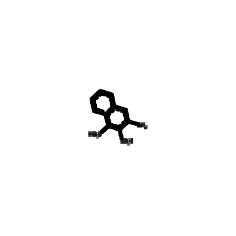 Nc1cc2ccccc2c(S(=O)(=O)O)c1S(=O)(=O)O